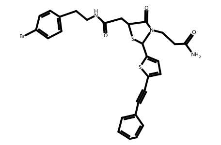 NC(=O)CCN1C(=O)C(CC(=O)NCCc2ccc(Br)cc2)SC1c1ccc(C#Cc2ccccc2)s1